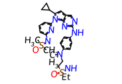 CCS(=N)(=O)CCN(C)c1ccc(Nc2ncc3cc(C4CC4)n(-c4cccc(N=S(C)(C)=O)n4)c3n2)cc1